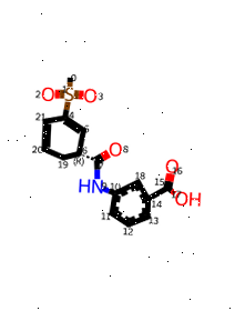 CS(=O)(=O)C1=C[C@H](C(=O)Nc2cccc(C(=O)O)c2)CC=C1